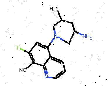 CC1CC(N)CN(c2cc(F)c(C#N)c3ncccc23)C1